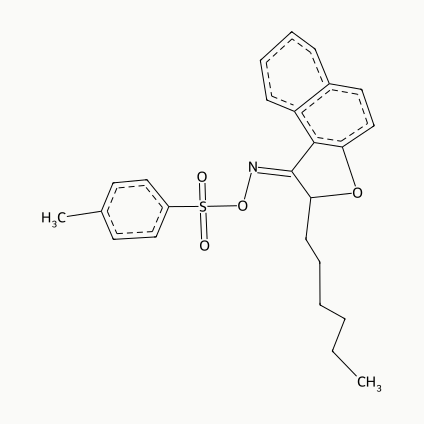 CCCCCCC1Oc2ccc3ccccc3c2/C1=N/OS(=O)(=O)c1ccc(C)cc1